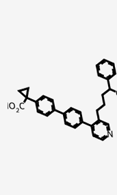 O=C(O)C1(c2ccc(-c3ccc(-c4ccncc4CCCC(O)c4ccccc4)cc3)cc2)CC1